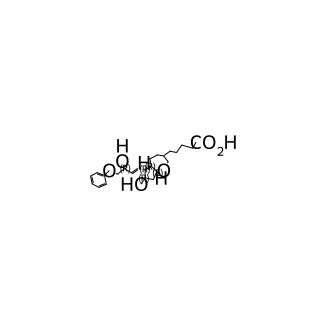 O=C(O)CCCCC1CC[C@@H]2[C@@H](C=C[C@@H](O)COc3ccccc3)[C@H](O)C[C@@H]2OC1